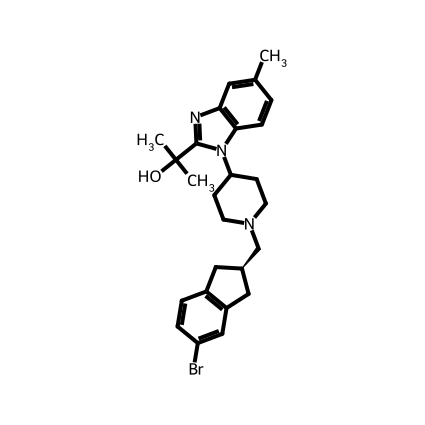 Cc1ccc2c(c1)nc(C(C)(C)O)n2C1CCN(C[C@@H]2Cc3ccc(Br)cc3C2)CC1